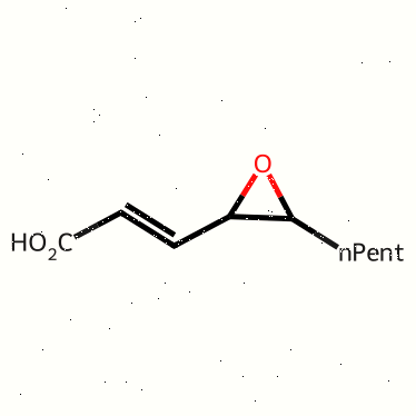 CCCCCC1OC1C=CC(=O)O